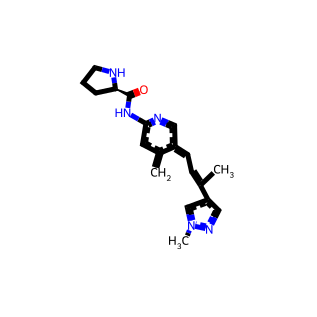 C=c1cc(NC(=O)[C@H]2CCCN2)nc/c1=C/C=C(\C)c1cnn(C)c1